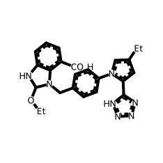 CCOC1Nc2cccc(C(=O)O)c2N1Cc1ccc(-n2cc(CC)cc2-c2nnn[nH]2)cc1